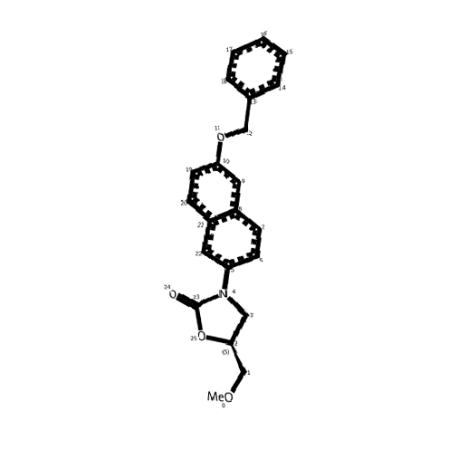 COC[C@@H]1CN(c2ccc3cc(OCc4ccccc4)ccc3c2)C(=O)O1